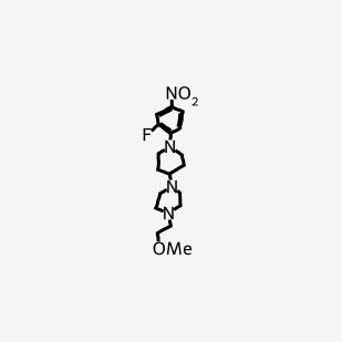 COCCN1CCN(C2CCN(c3ccc([N+](=O)[O-])cc3F)CC2)CC1